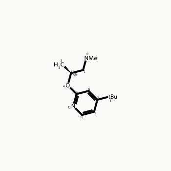 CNC[C@H](C)Oc1cc(C(C)(C)C)ccn1